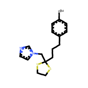 CCCCc1ccc(CCCC2(Cn3ccnc3)SCCS2)cc1